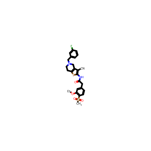 CCOc1cc(CC(=O)Nc2sc3c(c2C#N)CN(Cc2cccc(F)c2)CC3)ccc1S(C)(=O)=O